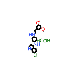 COc1cc(CCN[C@H]2CC[C@H](Nc3ccnc4cc(Cl)ccc34)CC2)cc(OC)c1.Cl.Cl